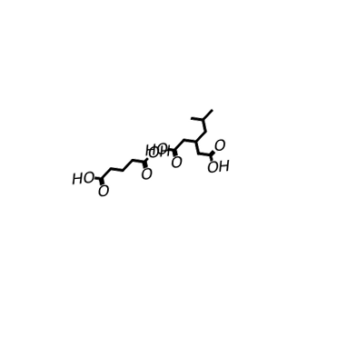 CC(C)CC(CC(=O)O)CC(=O)O.O=C(O)CCCC(=O)O